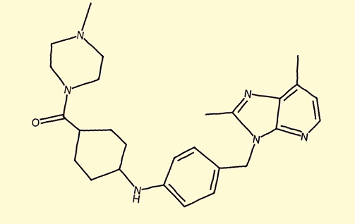 Cc1ccnc2c1nc(C)n2Cc1ccc(NC2CCC(C(=O)N3CCN(C)CC3)CC2)cc1